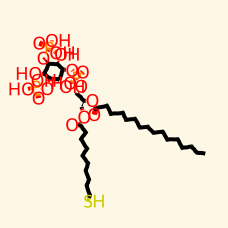 CCCCCCCCCCCCCCCC(=O)O[C@H](COC(=O)CCCCCCCCCS)COP(=O)(O)OC1C(O)[C@@H](OP(=O)(O)O)C(O)[C@@H](OP(=O)(O)O)[C@H]1O